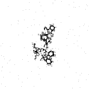 CCOP(=O)(CO[C@@H](COn1cnc2c(N3C(=O)c4ccccc4C3=O)ncnc21)CO[Si](c1ccccc1)(c1ccccc1)C(C)(C)C)OCC